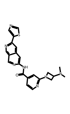 CN(C)C1CN(c2cc(C(=O)Nc3cc4cc(-c5cncs5)ncc4cn3)ccn2)C1